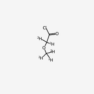 [2H]C([2H])([2H])OC([2H])([2H])C(=O)Cl